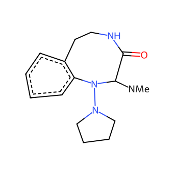 CNC1C(=O)NCCc2ccccc2N1N1CCCC1